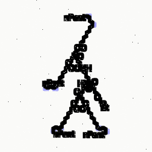 CCCCC/C=C\C/C=C\CCCCCCCC(=O)OCCN(CCOC(=O)CCCCCCC/C=C\C/C=C\CCCCC)C(=O)CCC(=O)NCCCC[C@H](NC(=O)CCC(=O)N(CCOC(=O)CCCCCCC/C=C\C/C=C\CCCCC)CCOC(=O)CCCCCCC/C=C\C/C=C\CCCCC)C(=O)NCCCOCCOCC